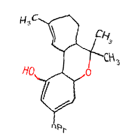 CCCC1=CC2OC(C)(C)C3CCC(C)=CC3C2C(O)=C1